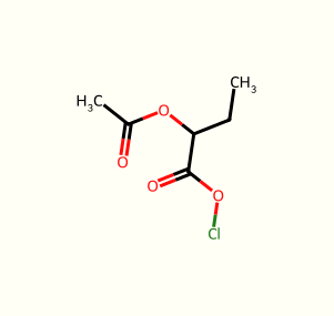 CCC(OC(C)=O)C(=O)OCl